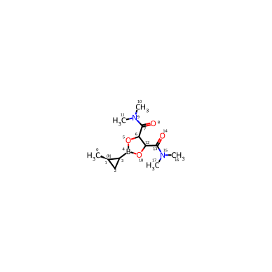 C[C@@H]1CC1B1OC(C(=O)N(C)C)C(C(=O)N(C)C)O1